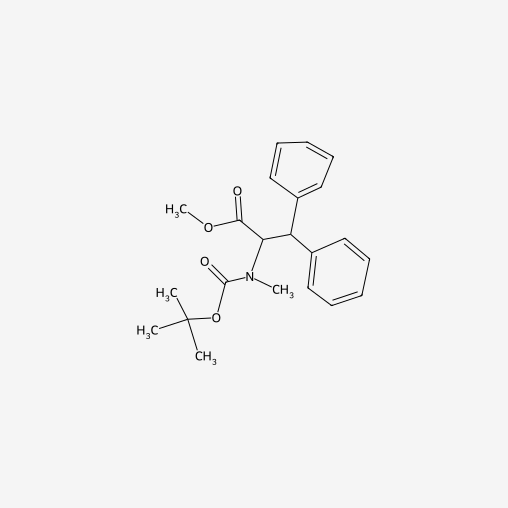 COC(=O)C(C(c1ccccc1)c1ccccc1)N(C)C(=O)OC(C)(C)C